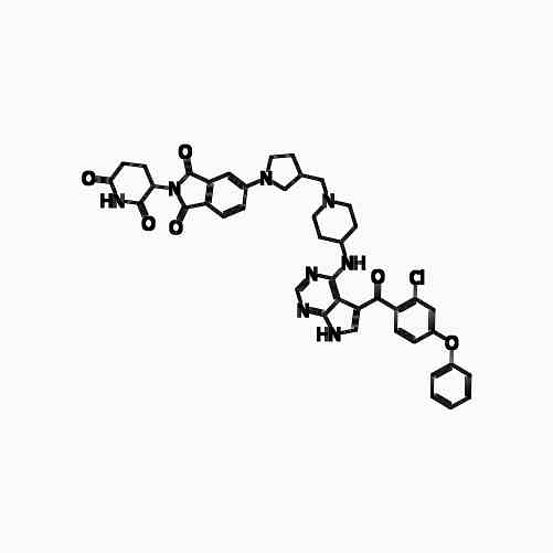 O=C1CCC(N2C(=O)c3ccc(N4CCC(CN5CCC(Nc6ncnc7[nH]cc(C(=O)c8ccc(Oc9ccccc9)cc8Cl)c67)CC5)C4)cc3C2=O)C(=O)N1